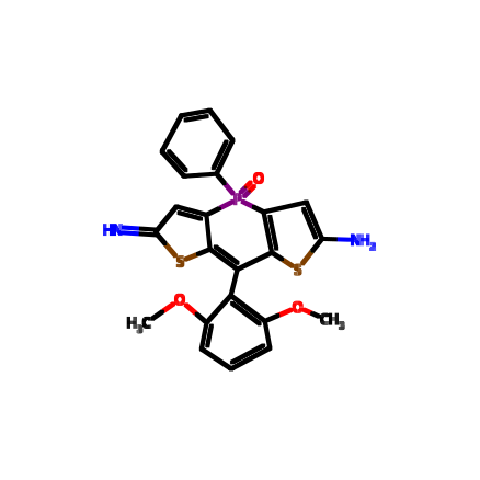 COc1cccc(OC)c1C1=C2SC(=N)C=C2P(=O)(c2ccccc2)c2cc(N)sc21